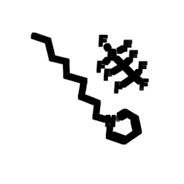 CCCCCCCCC[n+]1ccccc1.F[B-](F)(F)C(F)(F)C(F)(F)F